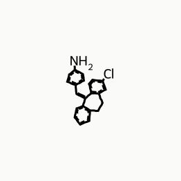 Nc1ccc(C=C2c3ccccc3CCc3cc(Cl)ccc32)cc1